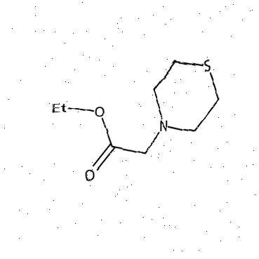 CCOC(=O)CN1CCSCC1